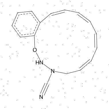 N#CN1CC=CC=CC=CC=Cc2ccccc2ON1